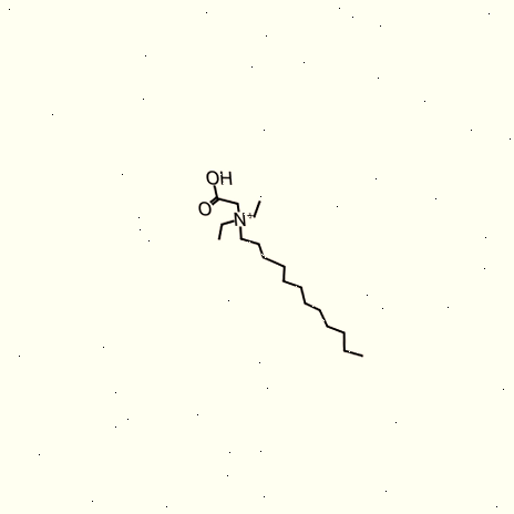 CCCCCCCCCCCC[N+](CC)(CC)CC(=O)O